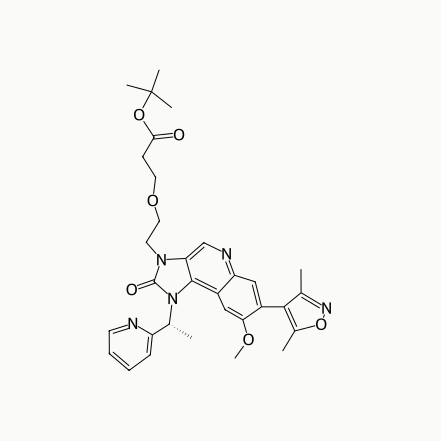 COc1cc2c(cc1-c1c(C)noc1C)ncc1c2n([C@H](C)c2ccccn2)c(=O)n1CCOCCC(=O)OC(C)(C)C